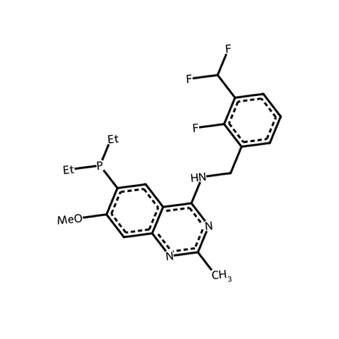 CCP(CC)c1cc2c(NCc3cccc(C(F)F)c3F)nc(C)nc2cc1OC